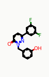 O=c1ccc(-c2cc(F)cc(F)c2)nn1Cc1cccc(O)c1